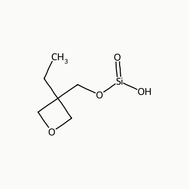 CCC1(CO[Si](=O)O)COC1